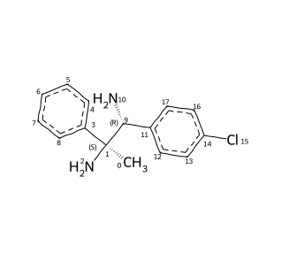 C[C@](N)(c1ccccc1)[C@H](N)c1ccc(Cl)cc1